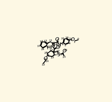 CCOc1ccc(NC(=O)[C@H](Cc2ccccc2)NC(=O)C2(CSC(C)=O)CCC(OCC)CC2)cc1